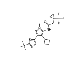 Cn1nc(-c2cnc(C(C)(C)C)s2)c(C2CCC2)c1NC(=O)CC1(C(F)(F)F)CC1